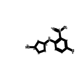 O=[N+]([O-])c1cc(Cl)ccc1OC1CCC(O)C1